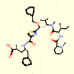 CC[C@H](C)[C@H](NC(=O)C1CCCCN1C)C(=O)N(C)[C@H](C[C@@H](OCc1ccccc1)c1nc(C(=O)N[C@@H](Cc2ccccc2)C[C@H](C)C(=O)O)cs1)C(C)C